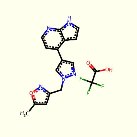 Cc1cc(Cn2cc(-c3ccnc4[nH]ccc34)cn2)no1.O=C(O)C(F)(F)F